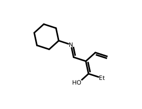 C=CC(/C=N/C1CCCCC1)=C(/O)CC